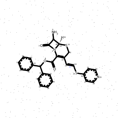 NC1C(=O)N2C(C(=O)OC(c3ccccc3)c3ccccc3)=C(/C=C/Sc3ccncc3)CS[C@H]12